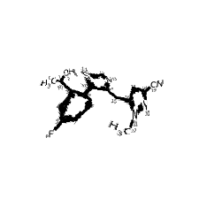 C[C@@H](O)c1cc(F)ccc1-c1scnc1Cc1cc(C#N)nn1C